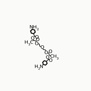 CC(OC(=O)c1ccc(N)cc1)C(=O)OCCOCCOC(=O)C(C)OC(=O)c1ccc(N)cc1